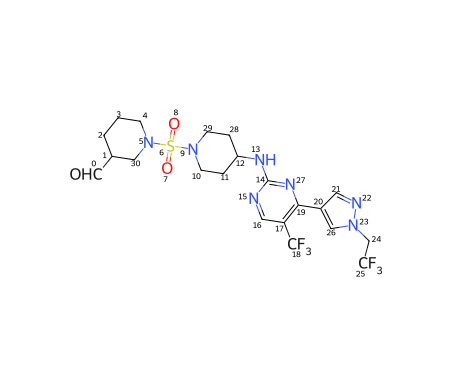 O=CC1CCCN(S(=O)(=O)N2CCC(Nc3ncc(C(F)(F)F)c(-c4cnn(CC(F)(F)F)c4)n3)CC2)C1